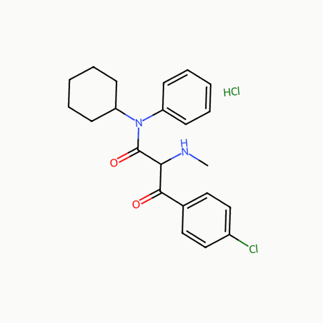 CNC(C(=O)c1ccc(Cl)cc1)C(=O)N(c1ccccc1)C1CCCCC1.Cl